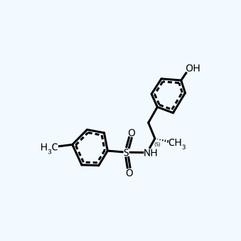 Cc1ccc(S(=O)(=O)N[C@@H](C)Cc2ccc(O)cc2)cc1